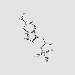 COc1ccn2c(C[C@@H](C)CS(=O)(=O)O)cnc2c1